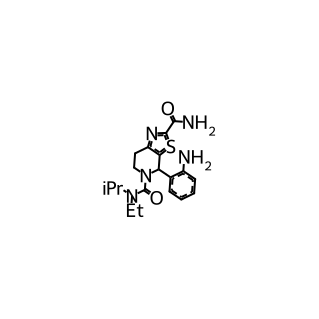 CCN(C(=O)N1CCc2nc(C(N)=O)sc2C1c1ccccc1N)C(C)C